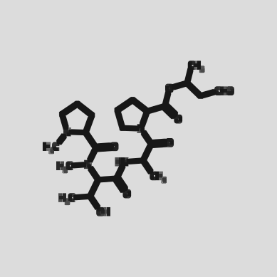 CC(CC=O)OC(=O)C1CCCN1C(=O)C(C)NC(=O)C(C(C)O)N(C)C(=O)C1CCCN1C